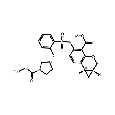 COC(=O)c1c(NS(=O)(=O)c2ccccc2C[C@@H]2CCN(C(=O)OC(C)(C)C)C2)ccc2c1OC[C@@H]1C[C@H]21